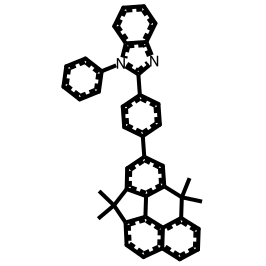 CC1(C)c2cc(-c3ccc(-c4nc5ccccc5n4-c4ccccc4)cc3)cc3c2-c2c1ccc1cccc(c21)C3(C)C